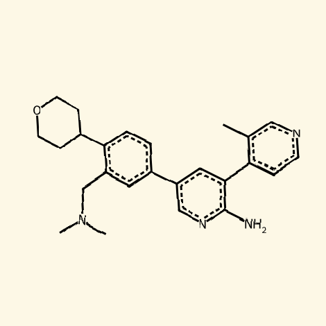 Cc1cnccc1-c1cc(-c2ccc(C3CCOCC3)c(CN(C)C)c2)cnc1N